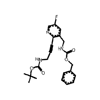 CC(C)(C)OC(=O)NCC#Cc1ncc(F)cc1CNC(=O)OCc1ccccc1